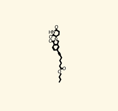 CCCCOC(=O)CCCCC#Cc1ccc2c(c1)CN(C1CCC(=O)NC1=O)C2=O